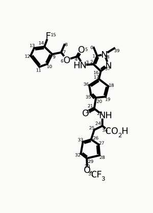 Cc1c(NC(=O)OC(C)c2ccccc2F)c(-c2ccc(C(=O)NC(Cc3ccc(OC(F)(F)F)cc3)C(=O)O)cc2)nn1C